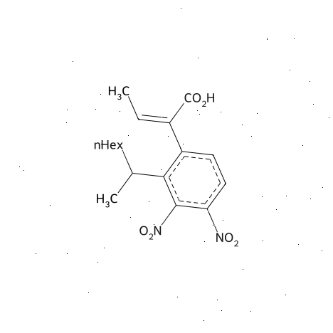 CC=C(C(=O)O)c1ccc([N+](=O)[O-])c([N+](=O)[O-])c1C(C)CCCCCC